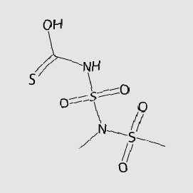 CN(S(C)(=O)=O)S(=O)(=O)NC(O)=S